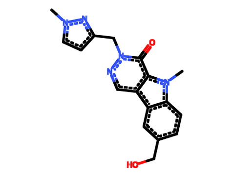 Cn1ccc(Cn2ncc3c4cc(CO)ccc4n(C)c3c2=O)n1